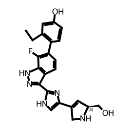 CCc1cc(O)ccc1-c1ccc2c(-c3nc(C4=C[C@@H](CO)NC4)c[nH]3)n[nH]c2c1F